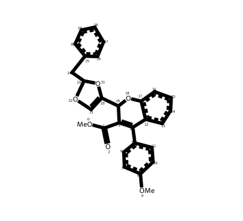 COC(=O)C1=C(c2ccc(OC)cc2)c2ccccc2OC1C1=COC(Cc2ccccc2)O1